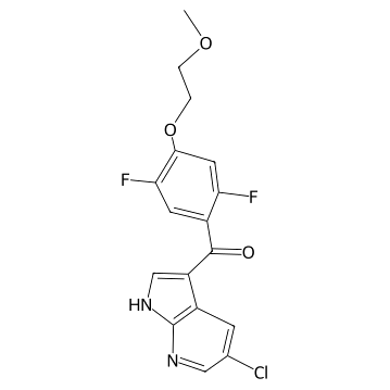 COCCOc1cc(F)c(C(=O)c2c[nH]c3ncc(Cl)cc23)cc1F